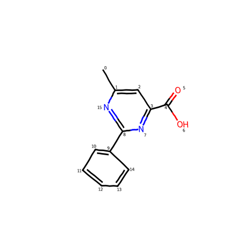 Cc1cc(C(=O)O)nc(-c2ccccc2)n1